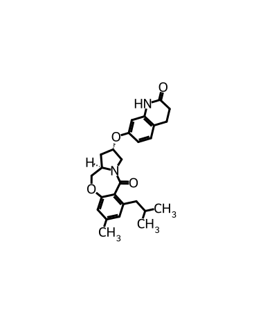 Cc1cc(CC(C)C)c2c(c1)OC[C@H]1C[C@H](Oc3ccc4c(c3)NC(=O)CC4)CN1C2=O